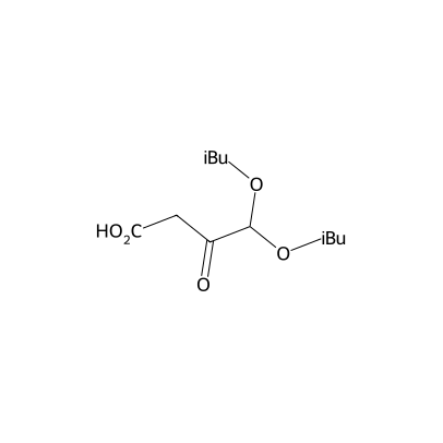 CCC(C)OC(OC(C)CC)C(=O)CC(=O)O